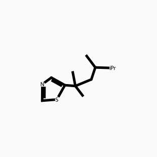 CC(C)C(C)CC(C)(C)c1cncs1